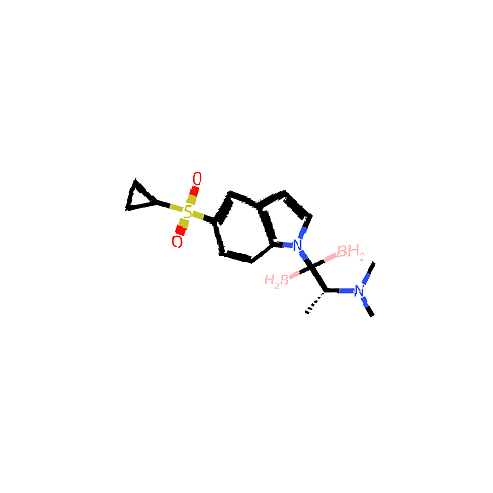 BC(B)([C@@H](C)N(C)C)n1ccc2cc(S(=O)(=O)C3CC3)ccc21